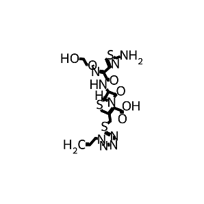 C=CCn1nnnc1SCC1=C(C(=O)O)N2C(=O)C(NC(=O)C(=NOCCO)c3csc(N)n3)[C@@H]2SC1